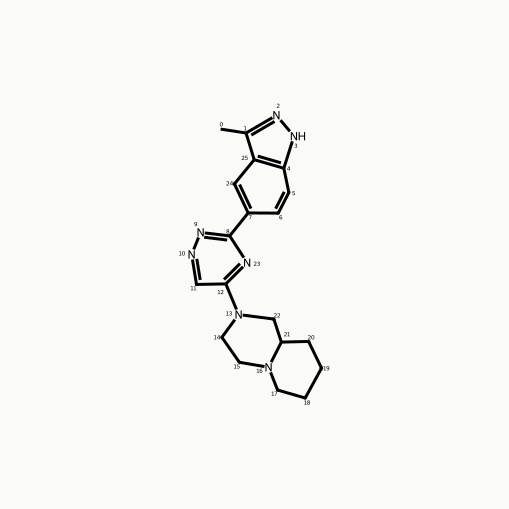 Cc1n[nH]c2ccc(-c3nncc(N4CCN5CCCCC5C4)n3)cc12